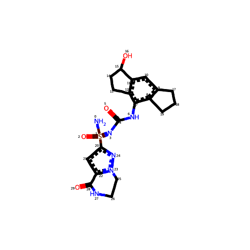 NS(=O)(=NC(=O)Nc1c2c(cc3c1CCC3O)CCC2)c1cc2n(n1)CCNC2=O